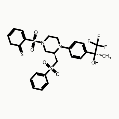 C[C@](O)(c1ccc(N2CCN(S(=O)(=O)C3=CC=CCC3=S)C[C@@H]2CS(=O)(=O)c2ccccc2)cc1)C(F)(F)F